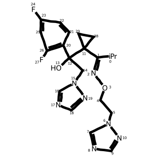 CC(C)C(=NOCCn1cncn1)C1(C(O)(Cn2cncn2)c2ccc(F)cc2F)CC1